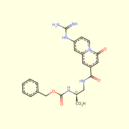 N=C(N)Nc1ccn2c(=O)cc(C(=O)NC[C@H](NC(=O)OCc3ccccc3)C(=O)O)cc2c1